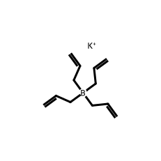 C=CC[B-](CC=C)(CC=C)CC=C.[K+]